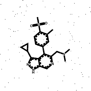 Cc1cc(-c2c(CN(C)C)ncc3[nH]nc(C4CC4)c23)ccc1S(C)(=O)=O